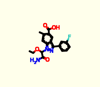 CCOC(C(N)=O)n1nc(-c2cccc(F)c2)c2cc(C(=O)O)c(C)cc21